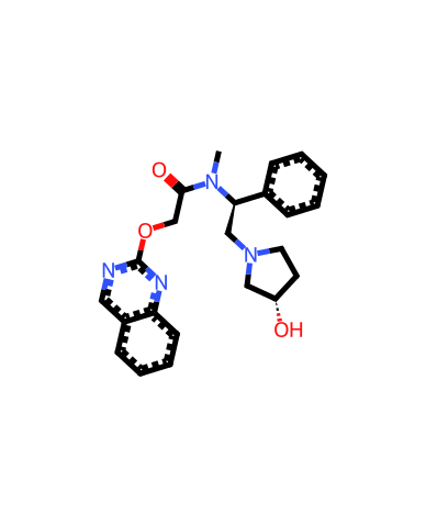 CN(C(=O)COc1ncc2ccccc2n1)[C@H](CN1CC[C@H](O)C1)c1ccccc1